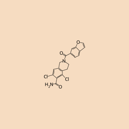 NC(=O)c1c(Cl)cc2c(c1Cl)CCN(C(=O)c1ccc3ccoc3c1)C2